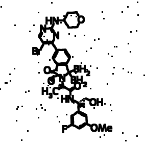 BC1(B)c2ccc(-c3nc(NC4CCOCC4)ncc3Br)cc2S(=O)(=O)N1[C@H](C)C(=O)N[C@H](CO)c1cc(F)cc(OC)c1